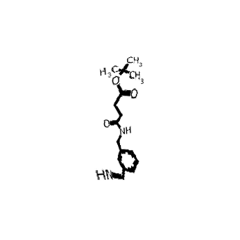 CC(C)(C)OC(=O)CCC(=O)NCc1cccc(C=N)c1